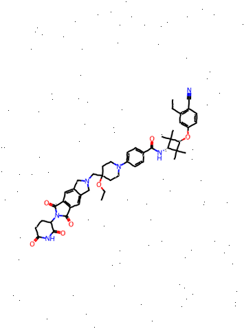 CCOC1(CN2Cc3cc4c(cc3C2)C(=O)N(C2CCC(=O)NC2=O)C4=O)CCN(c2ccc(C(=O)N[C@H]3C(C)(C)[C@H](Oc4ccc(C#N)c(CC)c4)C3(C)C)cc2)CC1